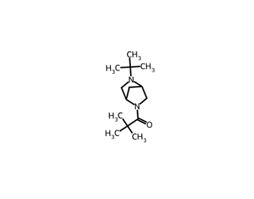 CC(C)(C)C(=O)N1CC2CC1CN2C(C)(C)C